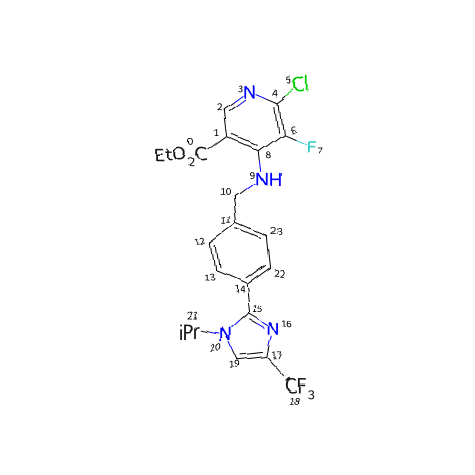 CCOC(=O)c1cnc(Cl)c(F)c1NCc1ccc(-c2nc(C(F)(F)F)cn2C(C)C)cc1